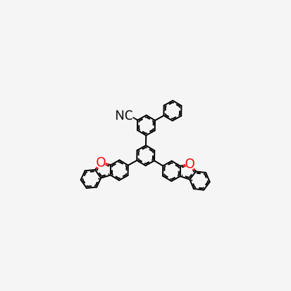 N#Cc1cc(-c2ccccc2)cc(-c2cc(-c3ccc4c(c3)oc3ccccc34)cc(-c3ccc4c(c3)oc3ccccc34)c2)c1